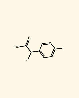 O=C(O)C(Br)c1ccc(F)cc1